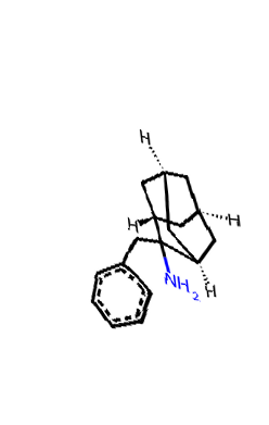 NC1(Cc2ccccc2)[C@H]2C[C@H]3C[C@H](C2)C[C@H]1C3